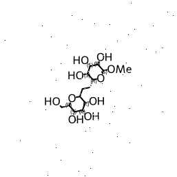 CO[C@H]1O[C@H](CCC2O[C@H](CO)[C@@H](O)[C@H](O)[C@H]2O)[C@@H](O)[C@H](O)[C@H]1O